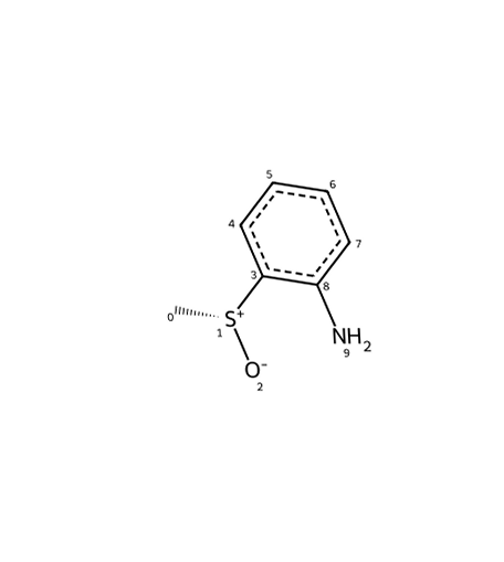 C[S@@+]([O-])c1ccccc1N